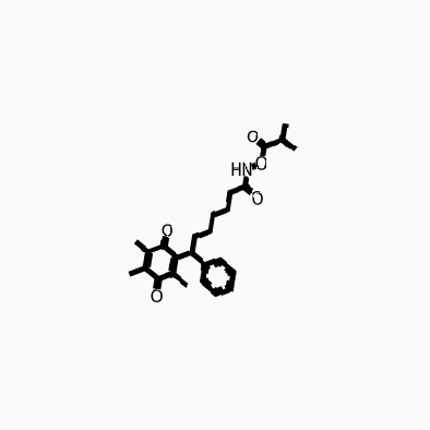 CC1=C(C)C(=O)C(C(CCCCCC(=O)NOC(=O)C(C)C)c2ccccc2)=C(C)C1=O